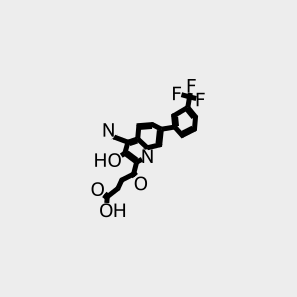 N#Cc1c(O)c(C(=O)CCC(=O)O)nc2cc(-c3cccc(C(F)(F)F)c3)ccc12